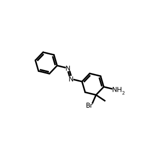 CC1(Br)CC(N=Nc2ccccc2)=CC=C1N